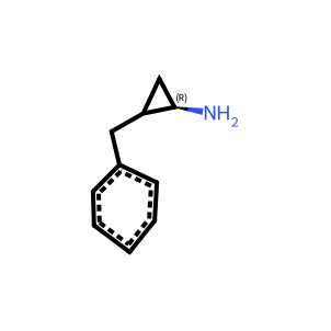 N[C@@H]1CC1Cc1ccccc1